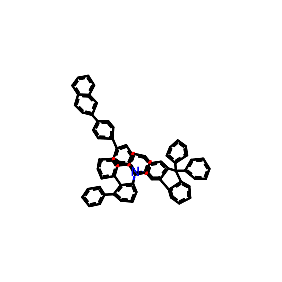 c1ccc(-c2ccccc2-c2c(-c3ccccc3)cccc2N(c2ccc(-c3ccc(-c4ccc5ccccc5c4)cc3)cc2)c2ccc3c(c2)-c2ccccc2C3(c2ccccc2)c2ccccc2)cc1